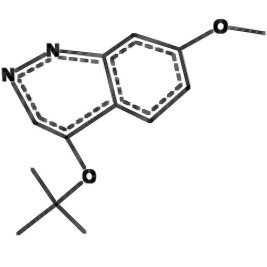 COc1ccc2c(OC(C)(C)C)cnnc2c1